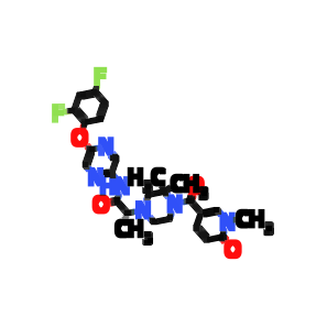 C[C@H](C(=O)Nc1cnc(Oc2ccc(F)cc2F)cn1)N1CCN(C(=O)c2ccc(=O)n(C)c2)C(C)(C)C1